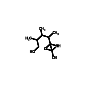 CC(CO)C(C)C(C)C12NC1(O)O2